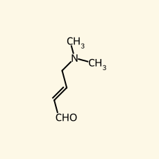 CN(C)C/C=C/C=O